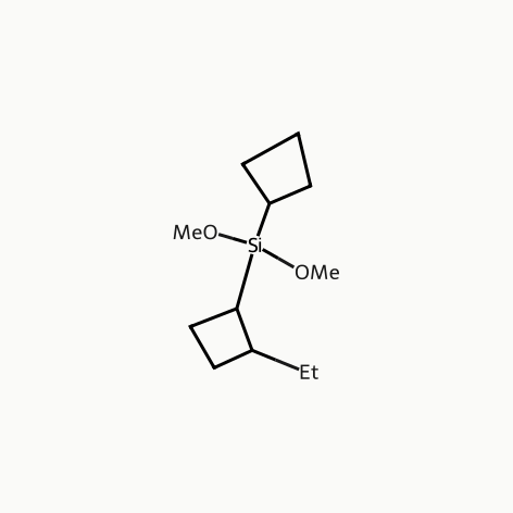 CCC1CCC1[Si](OC)(OC)C1CCC1